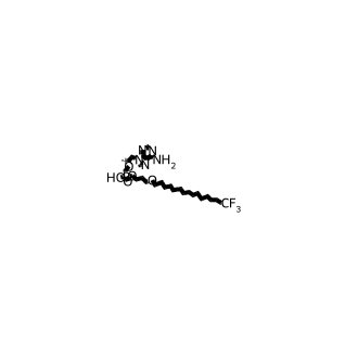 C[C@H](Cn1cnc2c(N)ncnc21)OCP(=O)(O)OCCCOCCCCCCCCCCCCCCCC(F)(F)F